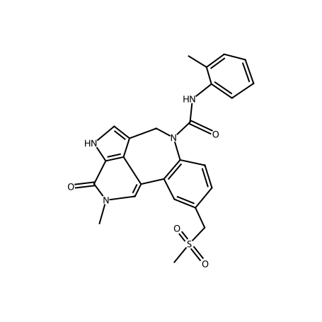 Cc1ccccc1NC(=O)N1Cc2c[nH]c3c(=O)n(C)cc(c23)-c2cc(CS(C)(=O)=O)ccc21